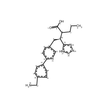 CCCC(C(=O)O)[C@H](Cc1ccc(-c2ccc(CN)cc2)nc1)c1nnn[nH]1